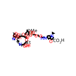 CC[C@H]1OC(=O)[C@H](C)[C@@H](O[C@H]2C[C@@](C)(OC)[C@@H](OS(=O)(=O)CCOCCOCCNc3ccc4c(c3)c(=O)c(C(=O)O)cn4C3CC3)[C@H](C)O2)[C@H](C)[C@@H](O[C@@H]2O[C@H](C)C[C@H](N(C)C)[C@H]2O)[C@](C)(O)C[C@@H](C)CN(C)[C@H](C)[C@@H](O)[C@]1(C)O